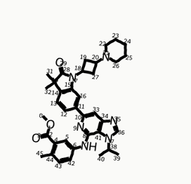 COC(=O)c1cc(Nc2nc(-c3ccc4c(c3)N(C3CC(N5CCCCC5)C3)C(=O)C4(C)C)cc3ncn(C(C)C)c23)ccc1C